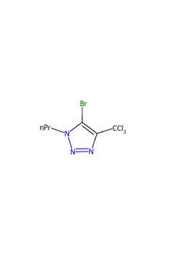 CCCn1nnc(C(Cl)(Cl)Cl)c1Br